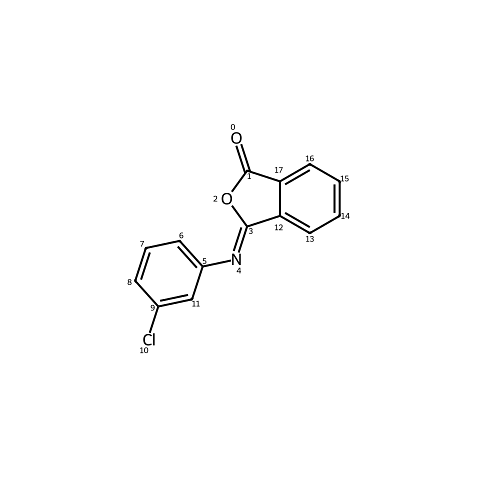 O=C1OC(=Nc2cccc(Cl)c2)c2ccccc21